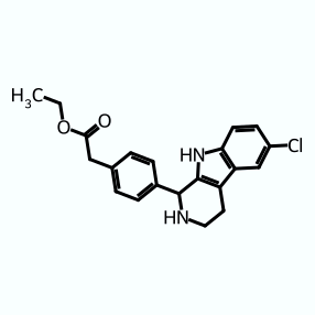 CCOC(=O)Cc1ccc(C2NCCc3c2[nH]c2ccc(Cl)cc32)cc1